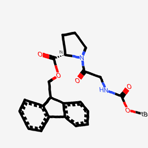 CC(C)(C)OC(=O)NCC(=O)N1CCC[C@H]1C(=O)OCC1c2ccccc2-c2ccccc21